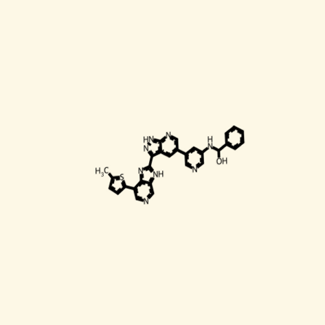 Cc1ccc(-c2cncc3[nH]c(-c4n[nH]c5ncc(-c6cncc(NC(O)c7ccccc7)c6)cc45)nc23)s1